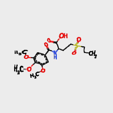 CCCS(=O)(=O)CCC(NC(=O)c1cc(OC)c(OC)c(OC)c1)C(=O)O